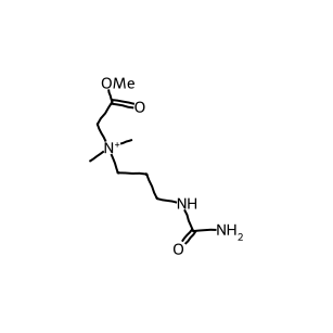 COC(=O)C[N+](C)(C)CCCNC(N)=O